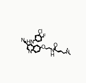 CN(C)CC=CC(=O)NCCOc1ccc2ncc(C#N)c(Nc3ccc(F)c(Cl)c3)c2c1